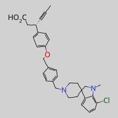 CC#C[C@@H](CC(=O)O)c1ccc(OCc2ccc(CN3CCC4(CC3)CN(C)c3c(Cl)cccc34)cc2)cc1